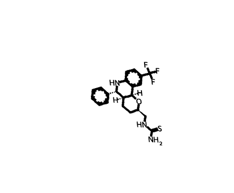 NC(=S)NC[C@H]1CC[C@@H]2[C@H](O1)c1cc(C(F)(F)F)ccc1N[C@H]2c1ccccc1